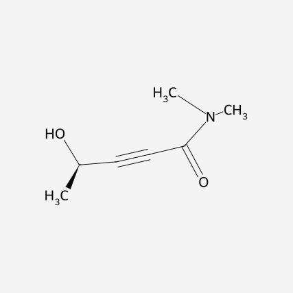 C[C@@H](O)C#CC(=O)N(C)C